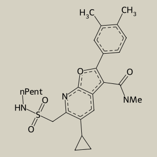 CCCCCNS(=O)(=O)Cc1nc2oc(-c3ccc(C)c(C)c3)c(C(=O)NC)c2cc1C1CC1